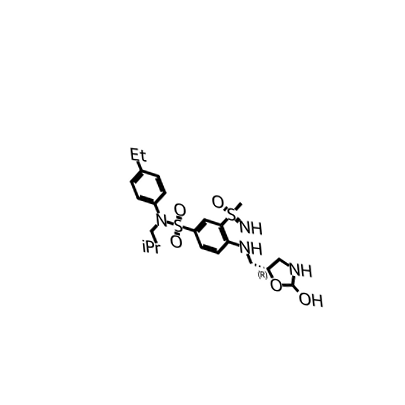 CCc1ccc(N(CC(C)C)S(=O)(=O)c2ccc(NC[C@@H]3CNC(O)O3)c(S(C)(=N)=O)c2)cc1